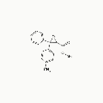 Cc1ccc(C2(c3ccccc3)OC2C(=O)OC(C)C)cc1